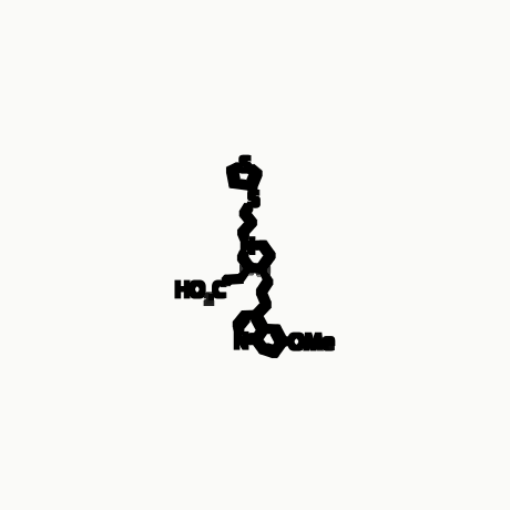 COc1ccc2nccc(CCC[C@@H]3CCN(CCCSc4ccsc4)C[C@@H]3CCC(=O)O)c2c1